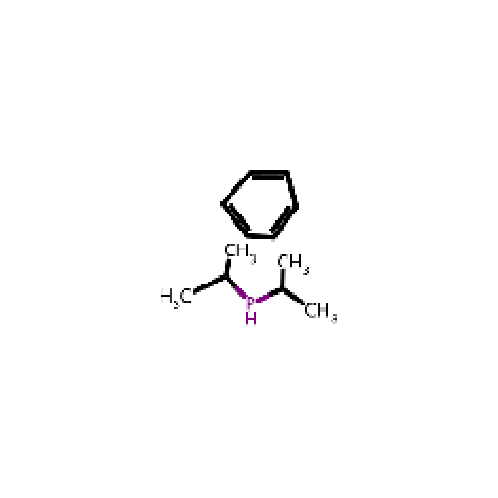 CC(C)PC(C)C.c1ccccc1